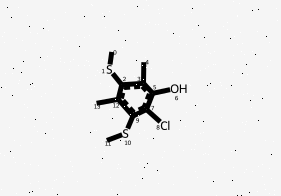 CSc1c(C)c(O)c(Cl)c(SC)c1C